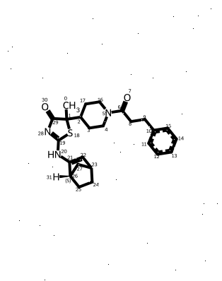 CC1(C2CCN(C(=O)CCc3ccccc3)CC2)SC(NC2=CC3CC[C@H]2C3)=NC1=O